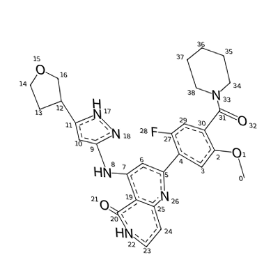 COc1cc(-c2cc(Nc3cc(C4CCOC4)[nH]n3)c3c(=O)[nH]ccc3n2)c(F)cc1C(=O)N1CCCCC1